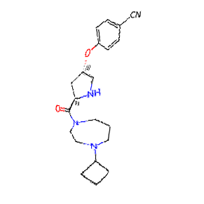 N#Cc1ccc(O[C@@H]2CN[C@@H](C(=O)N3CCCN(C4CCC4)CC3)C2)cc1